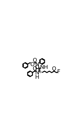 O=C(CF)CCCCC[C@H](NC(=O)C1C=CC=CC1)C(=O)Nc1ccccc1NC(=O)OCc1ccccc1